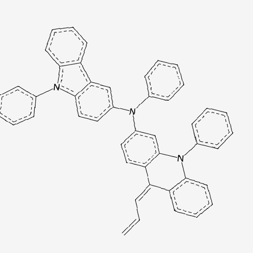 C=C/C=C1\c2ccccc2N(c2ccccc2)c2cc(N(c3ccccc3)c3ccc4c(c3)c3ccccc3n4-c3ccccc3)ccc21